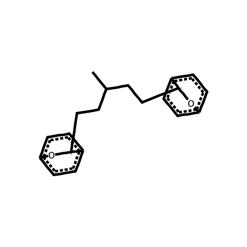 CC(CC[C]1Oc2ccc1cc2)CC[C]1Oc2ccc1cc2